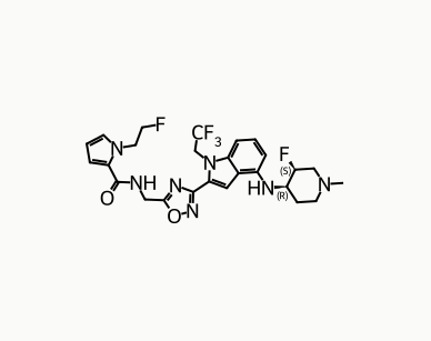 CN1CC[C@@H](Nc2cccc3c2cc(-c2noc(CNC(=O)c4cccn4CCF)n2)n3CC(F)(F)F)[C@@H](F)C1